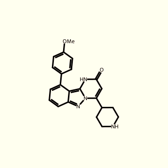 COc1ccc(-c2cccc3nn4c(C5CCNCC5)cc(=O)[nH]c4c23)cc1